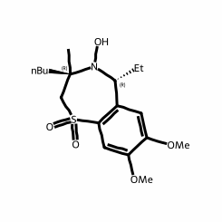 CCCC[C@]1(C)CS(=O)(=O)c2cc(OC)c(OC)cc2[C@@H](CC)N1O